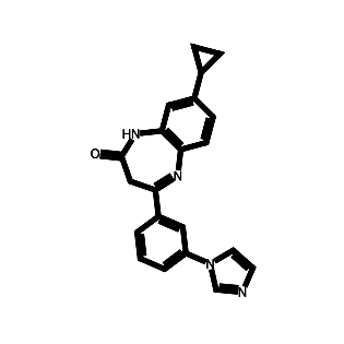 O=C1CC(c2cccc(-n3ccnc3)c2)=Nc2ccc(C3CC3)cc2N1